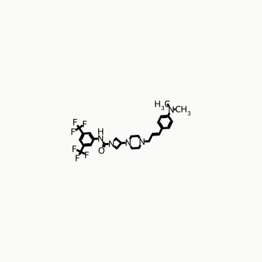 CN(C)c1ccc(C=CCN2CCN(C3CN(C(=O)Nc4cc(C(F)(F)F)cc(C(F)(F)F)c4)C3)CC2)cc1